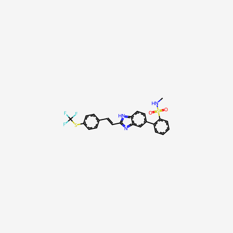 CNS(=O)(=O)c1ccccc1-c1ccc2[nH]c(C=Cc3ccc(SC(F)(F)F)cc3)nc2c1